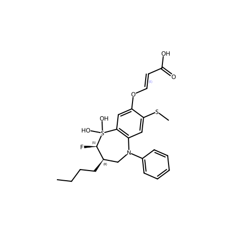 CCCC[C@@H]1CN(c2ccccc2)c2cc(SC)c(O/C=C/C(=O)O)cc2S(O)(O)[C@@H]1F